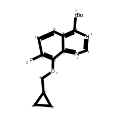 CC(C)(C)c1ncnc2c(OCC3CC3)c(F)ccc12